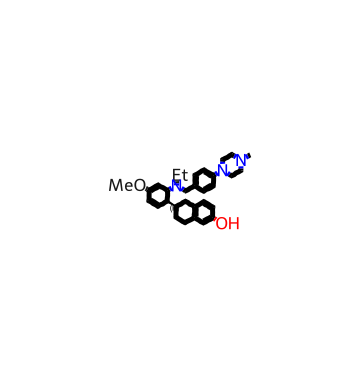 CCN(Cc1ccc(N2CCN(C)CC2)cc1)C1C=C(OC)C=CC1[C@@H]1CCc2cc(O)ccc2C1